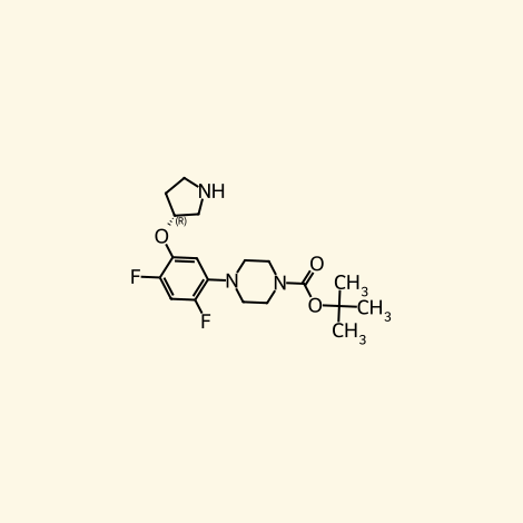 CC(C)(C)OC(=O)N1CCN(c2cc(O[C@@H]3CCNC3)c(F)cc2F)CC1